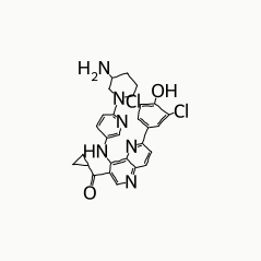 NC1CCCN(c2ccc(Nc3c(C(=O)C4CC4)cnc4ccc(-c5cc(Cl)c(O)c(Cl)c5)nc34)cn2)C1